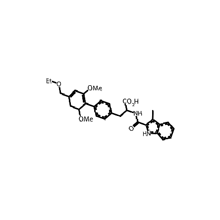 CCOCC1=CC(OC)=C(c2ccc(CC(NC(=O)c3[nH]c4ccccc4c3C)C(=O)O)cc2)C(OC)C1